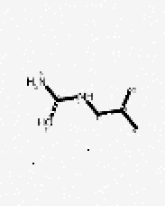 CC(C)CNC(N)O